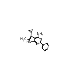 Cc1[nH]c2nc(-c3ccccc3)nc(N)c2c1C1CC1